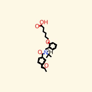 [2H]C(C)(C)N(Cc1ccccc1OCCCCCC(=O)O)C(=O)c1ccc2cc(C)oc2c1